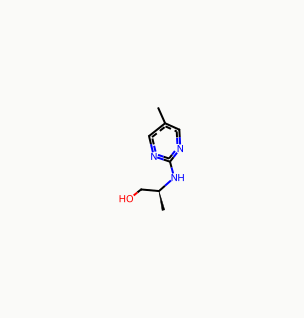 Cc1cnc(N[C@@H](C)CO)nc1